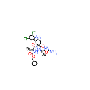 CCC(C)[C@H](NC(=O)OCc1ccccc1)C(=O)N[C@]1(C(=O)N[C@H](c2nnc(N)o2)C(C)CC)CCc2[nH]c3c(Cl)cc(Cl)cc3c2C1